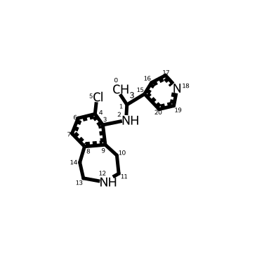 CC(Nc1c(Cl)ccc2c1CCNCC2)c1ccncc1